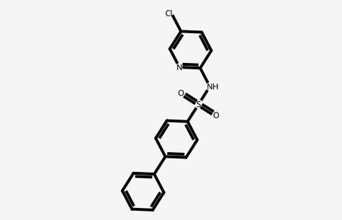 O=S(=O)(Nc1ccc(Cl)cn1)c1ccc(-c2ccccc2)cc1